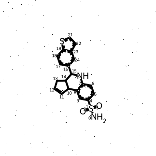 NS(=O)(=O)c1ccc2c(c1)C1C=CCC1C(c1ccc3sccc3c1)N2